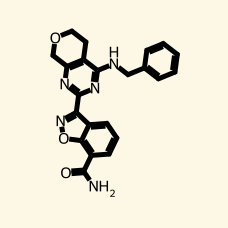 NC(=O)c1cccc2c(-c3nc4c(c(NCc5ccccc5)n3)CCOC4)noc12